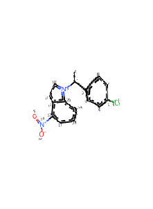 CC(c1ccc(Cl)cc1)n1ccc2c([N+](=O)[O-])cccc21